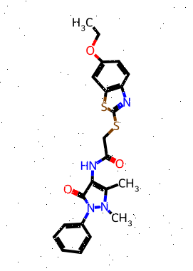 CCOc1ccc2nc(SCC(=O)Nc3c(C)n(C)n(-c4ccccc4)c3=O)sc2c1